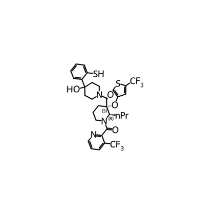 CCC[C@H]1N(C(=O)c2ncccc2C(F)(F)F)CCC[C@@]1(Oc1csc(C(F)(F)F)c1)C(=O)N1CCC(O)(c2ccccc2S)CC1